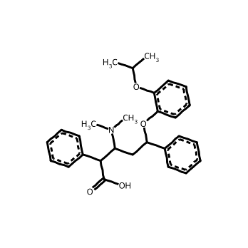 CC(C)Oc1ccccc1OC(CC(C(C(=O)O)c1ccccc1)N(C)C)c1ccccc1